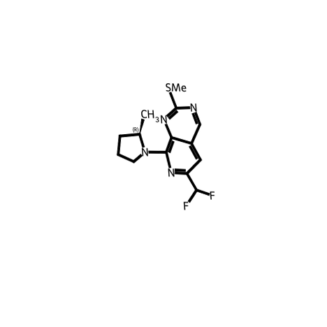 CSc1ncc2cc(C(F)F)nc(N3CCC[C@H]3C)c2n1